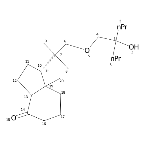 CCCC(O)(CCC)COCC(C)(C)[C@H]1CCC2C(=O)CCCC21C